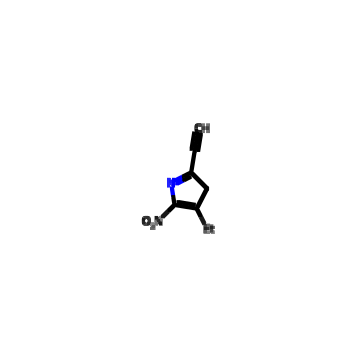 C#CC1=NC([N+](=O)[O-])=C(CC)C1